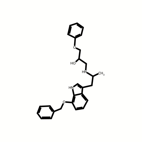 CC(Cc1c[nH]c2c(OCc3ccccc3)cccc12)NCC(O)COc1ccccc1